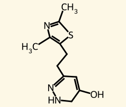 Cc1nc(C)c(CCC2=NNCC(O)=C2)s1